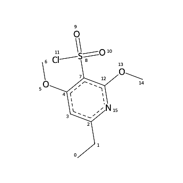 CCc1cc(OC)c(S(=O)(=O)Cl)c(OC)n1